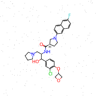 O=C(NC(CN1CCCC1)C(O)c1ccc(OC2COC2)c(Cl)c1)[C@@H]1CCN(c2ccc3cc(F)ccc3c2)C1